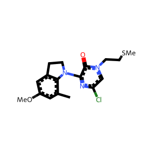 COc1cc(C)c2c(c1)CCN2c1nc(Cl)cn(CCSC)c1=O